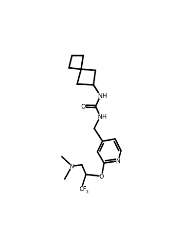 CN(C)CC(Oc1cc(CNC(=O)NC2CC3(CCC3)C2)ccn1)C(F)(F)F